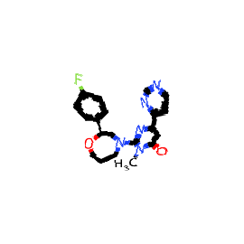 Cn1c(N2CCCO[C@@H](c3ccc(F)cc3)C2)nc(-c2ccncn2)cc1=O